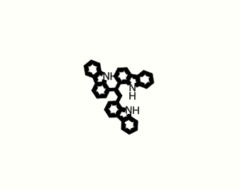 C(=C(c1cccc2c1[nH]c1ccccc12)c1cccc2c1[nH]c1ccccc12)c1cccc2c1[nH]c1ccccc12